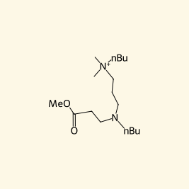 CCCCN(CCC[N+](C)(C)CCCC)CCC(=O)OC